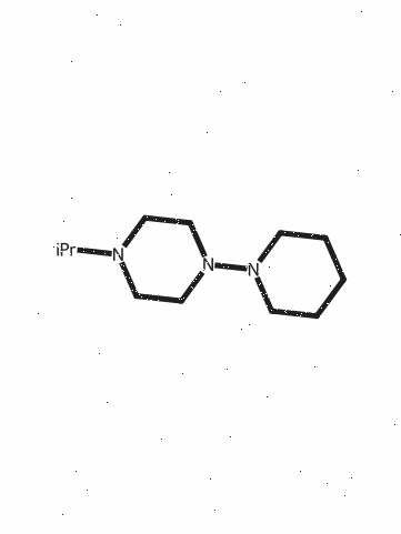 CC(C)N1CCN(N2CCCCC2)CC1